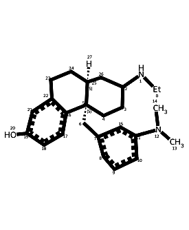 CCNC1CC[C@@]2(Cc3cccc(N(C)C)c3)c3ccc(O)cc3CC[C@H]2C1